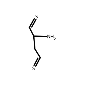 NC(C=S)CC=S